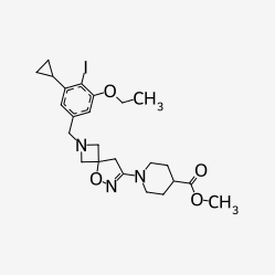 CCOc1cc(CN2CC3(CC(N4CCC(C(=O)OC)CC4)=NO3)C2)cc(C2CC2)c1I